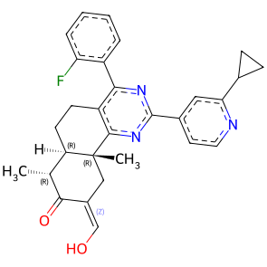 C[C@H]1C(=O)/C(=C\O)C[C@@]2(C)c3nc(-c4ccnc(C5CC5)c4)nc(-c4ccccc4F)c3CC[C@H]12